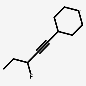 CCC(F)C#CC1CC[CH]CC1